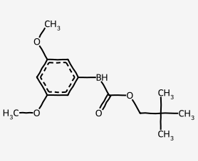 COc1cc(BC(=O)OCC(C)(C)C)cc(OC)c1